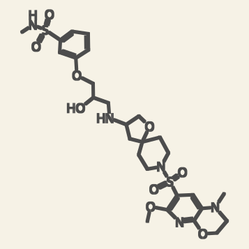 CNS(=O)(=O)c1cccc(OCC(O)CNC2COC3(CCN(S(=O)(=O)c4cc5c(nc4OC)OCCN5C)CC3)C2)c1